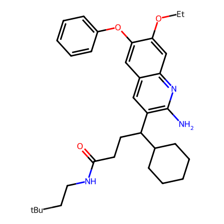 CCOc1cc2nc(N)c(C(CCC(=O)NCCC(C)(C)C)C3CCCCC3)cc2cc1Oc1ccccc1